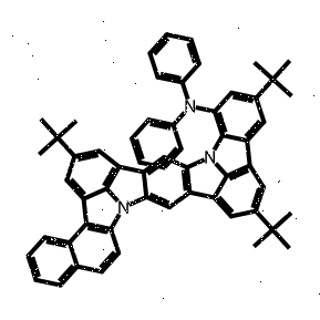 CC(C)(C)c1cc(N(c2ccccc2)c2ccccc2)c2c(c1)c1cc(C(C)(C)C)cc3c4cc5c(cc4n2c31)c1cc(C(C)(C)C)cc2c3c4ccccc4ccc3n5c12